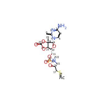 C=C1N=C(N)C=CN1[C@@H]1O[C@H](COP(=O)(OCCSC(C)=O)N(C)C)C2OC(=O)O[C@@]21C